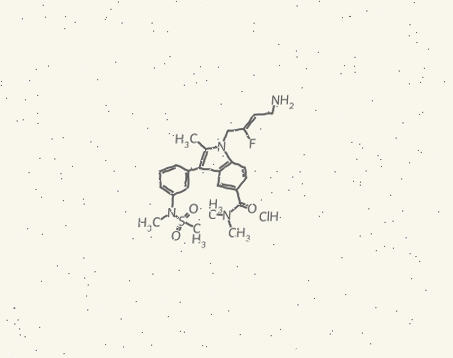 Cc1c(-c2cccc(N(C)S(C)(=O)=O)c2)c2cc(C(=O)N(C)C)ccc2n1CC(F)=CCN.Cl